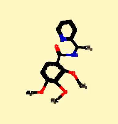 COc1ccc(C(=O)NC(C)c2ccccn2)c(OC)c1OC